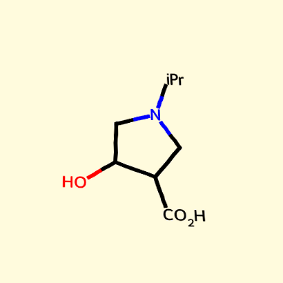 CC(C)N1CC(O)C(C(=O)O)C1